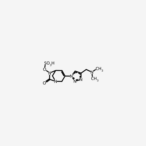 CN(C)Cc1cn(C2=CC3CN(C2)C(=O)N3OS(=O)(=O)O)nn1